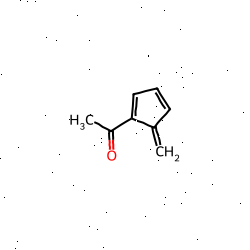 C=C1C=CC=C1C(C)=O